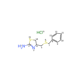 Cl.NC1=NC(CSCc2ccccc2)CS1